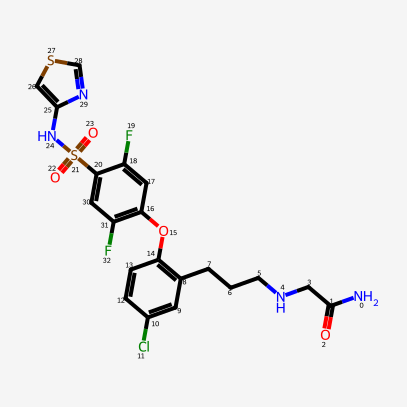 NC(=O)CNCCCc1cc(Cl)ccc1Oc1cc(F)c(S(=O)(=O)Nc2cscn2)cc1F